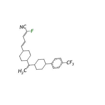 C=C(C1CCC(C=CC=C(F)C#N)CC1)C1CCC(c2ccc(C(F)(F)F)cc2)CC1